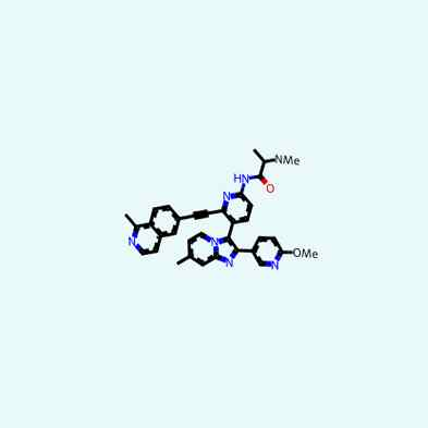 CNC(C)C(=O)Nc1ccc(-c2c(-c3ccc(OC)nc3)nc3cc(C)ccn23)c(C#Cc2ccc3c(C)nccc3c2)n1